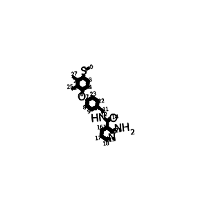 CSc1ccc(Oc2ccc(CNC(=O)c3cccnc3N)cc2)c(C)c1C